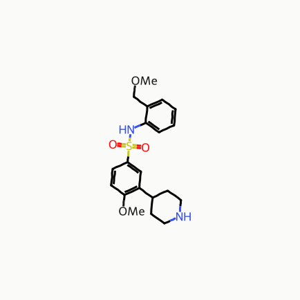 COCc1ccccc1NS(=O)(=O)c1ccc(OC)c(C2CCNCC2)c1